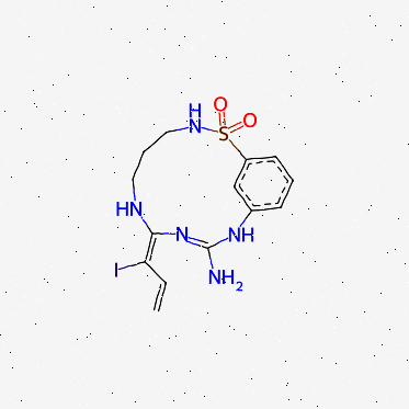 C=C/C(I)=C1\N=C(/N)Nc2cccc(c2)S(=O)(=O)NCCCN1